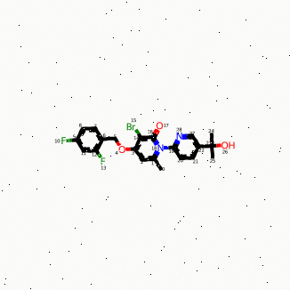 Cc1cc(OCc2ccc(F)cc2F)c(Br)c(=O)n1-c1ccc(C(C)(C)O)cn1